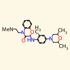 CNCCN1C(=O)C(Nc2ccc(N3CC(C)OC(C)C3)cc2C)Oc2ccccc21